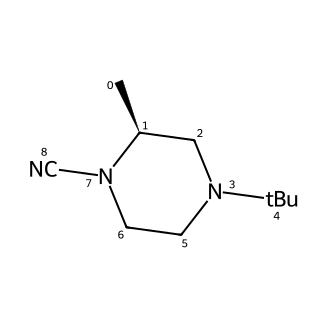 C[C@H]1CN(C(C)(C)C)CCN1C#N